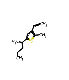 C=Cc1cc(C(C)CCC)sc1C